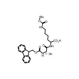 CC(C)[C@H](NC(=O)OCC1c2ccccc2-c2ccccc21)C(=O)NC(CCCCNC(=O)OC(C)(C)C)C(=O)O